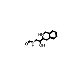 O=CNCC(O)C1Cc2ccccc2CN1